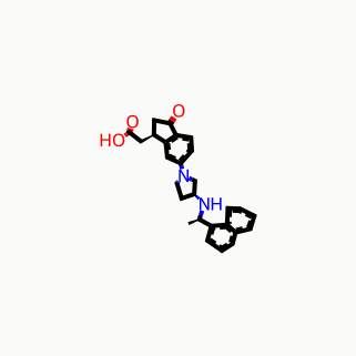 C[C@@H](N[C@H]1CCN(c2ccc3c(c2)[C@@H](CC(=O)O)CC3=O)C1)c1cccc2ccccc12